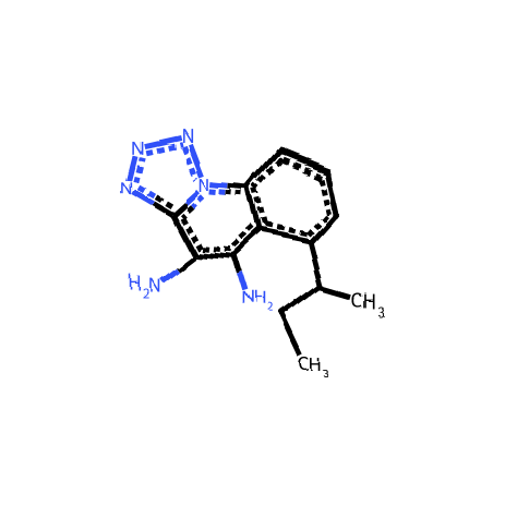 CCC(C)c1cccc2c1c(N)c(N)c1nnnn12